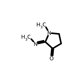 CN=C1C(=O)CCN1C